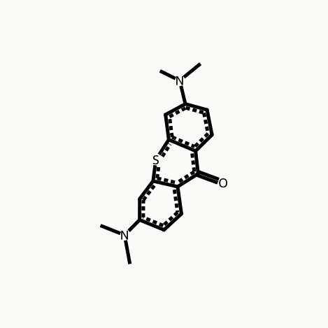 CN(C)c1ccc2c(=O)c3ccc(N(C)C)cc3sc2c1